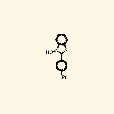 CC(C)c1ccc(C2Sc3ccccc3N2O)cc1